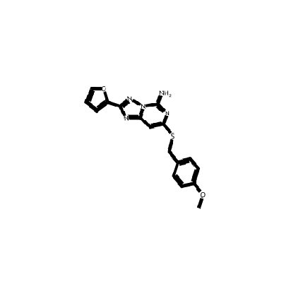 COc1ccc(CSc2cc3nc(-c4ccco4)nn3c(N)n2)cc1